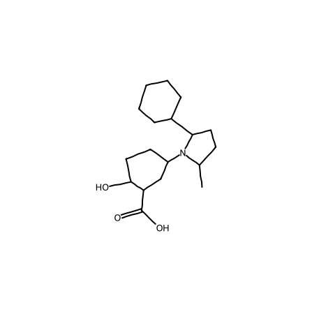 CC1CCC(C2CCCCC2)N1C1CCC(O)C(C(=O)O)C1